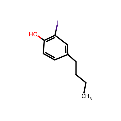 CCCCc1ccc(O)c(I)c1